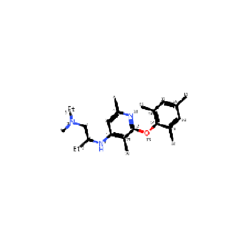 CCC(CN(C)CC)Nc1cc(C)nc(Oc2c(C)cc(C)cc2C)c1C